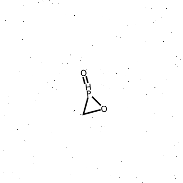 O=[PH]1[CH]O1